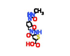 CCNC(=O)Nc1ccc(Cn2c(=O)[nH]c3c(c2=O)C=C(C(=O)O)CS3)cc1